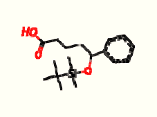 CC(C)(C)[Si](C)(C)OC(CCCC(=O)O)c1ccccc1